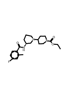 CCOC(=O)N1CCC(N2CCC[C@H](NC(=O)c3ccc(F)cc3C)C2)CC1